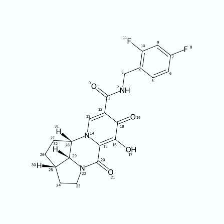 O=C(NCc1ccc(F)cc1F)c1cn2c(c(O)c1=O)C(=O)N1CC[C@@H]3CC[C@H]2[C@@H]31